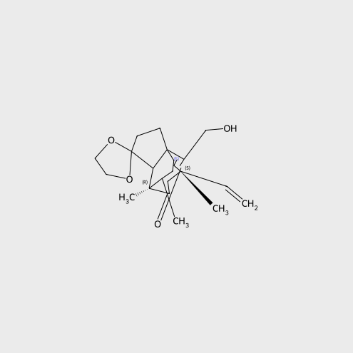 C=C[C@@]1(C)/C=C(/CO)C23CCC(C)[C@@](C)(C(=O)C1)C2C1(CC3)OCCO1